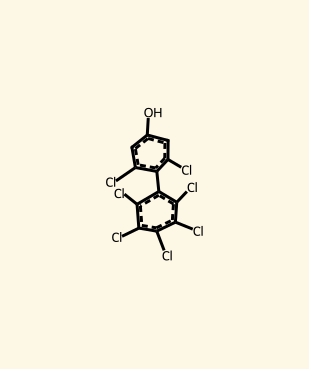 Oc1cc(Cl)c(-c2c(Cl)c(Cl)c(Cl)c(Cl)c2Cl)c(Cl)c1